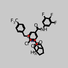 O=C(Nc1cc(F)c(F)c(F)c1)c1ccc(Cl)c(S(=O)(=O)C2C3CC[C@@H]2CC(/C=N/OCc2ccc(C(F)(F)F)cc2)C3)c1